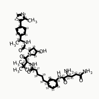 Cc1ncsc1-c1ccc([C@H](C)NC(=O)[C@@H]2C[C@@H](O)CN2C(=O)[C@@H](NC(=O)CCCCc2cccc(NC(=O)[C@@H](N)CCC(N)=O)c2)C(C)(C)C)cc1